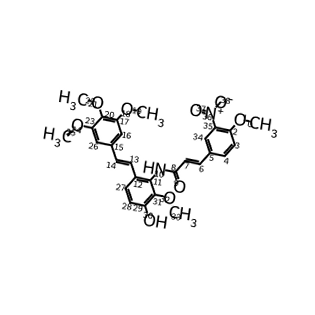 COc1ccc(/C=C/C(=O)Nc2c(C=Cc3cc(OC)c(OC)c(OC)c3)ccc(O)c2OC)cc1[N+](=O)[O-]